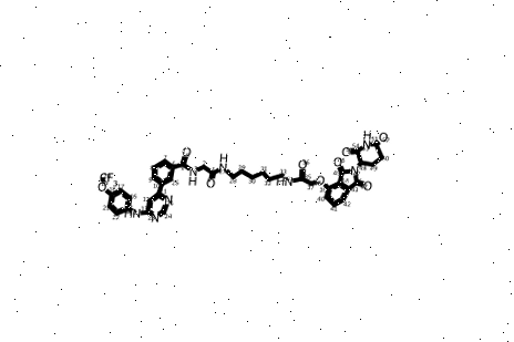 O=C(CNC(=O)c1cccc(-c2cc(Nc3ccc(OC(F)(F)F)cc3)ncn2)c1)NCCCCCCNC(=O)COc1cccc2c1C(=O)N(C1CCC(=O)NC1=O)C2=O